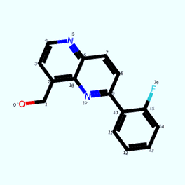 [O]Cc1ccnc2ccc(-c3ccccc3F)nc12